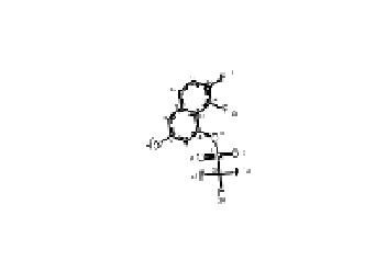 O=S(=O)(Oc1cc(O)cc2ccc(F)c(F)c12)C(F)(F)F